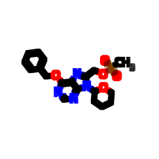 CS(=O)(=O)OCc1nc2c(OCc3ccccc3)ncnc2n1C1CCCCO1